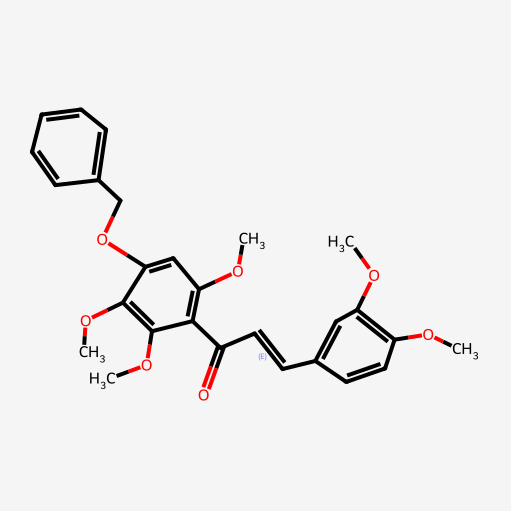 COc1ccc(/C=C/C(=O)c2c(OC)cc(OCc3ccccc3)c(OC)c2OC)cc1OC